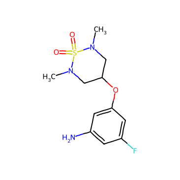 CN1CC(Oc2cc(N)cc(F)c2)CN(C)S1(=O)=O